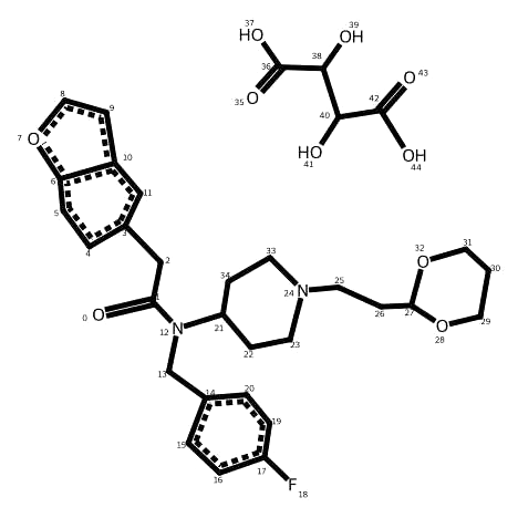 O=C(Cc1ccc2occc2c1)N(Cc1ccc(F)cc1)C1CCN(CCC2OCCCO2)CC1.O=C(O)C(O)C(O)C(=O)O